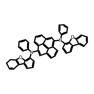 C1=Cc2c(oc3c(N(c4ccccc4)c4cc5cccc6c(N(c7ccccc7)c7cccc8c7oc7ccccc78)cc7cccc4c7c56)cccc23)CC1